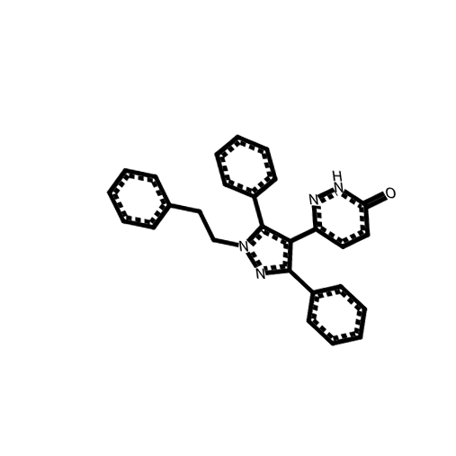 O=c1ccc(-c2c(-c3ccccc3)nn(CCc3ccccc3)c2-c2ccccc2)n[nH]1